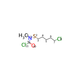 CN(SCCCCCCl)C(=O)Cl